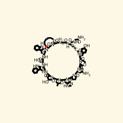 CC(C)C[C@@H]1NC(=O)[C@H](Cc2cnc[nH]2)NC(=O)[C@@H]2CCCN2C(=O)[C@H](CC(N)=O)NC(=O)[C@@H]2COCCN2C(=O)[C@H](Cc2ccc(O)cc2)NC(=O)CSC[C@H](C(=O)NCC(N)=O)NC(=O)[C@@H](C)NC(=O)[C@@H]2CCC/C=C\CCC[C@@H](C(=O)N2C)N(C)C(=O)[C@H](Cc2c[nH]c3ccccc23)NC(=O)[C@H](CO)NC(=O)[C@@H](Cc2c[nH]c3ccccc23)NC(=O)[C@@H]2C[C@@H](O)CN2C1=O